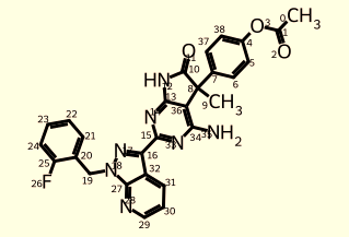 CC(=O)Oc1ccc(C2(C)C(=O)Nc3nc(-c4nn(Cc5ccccc5F)c5ncccc45)nc(N)c32)cc1